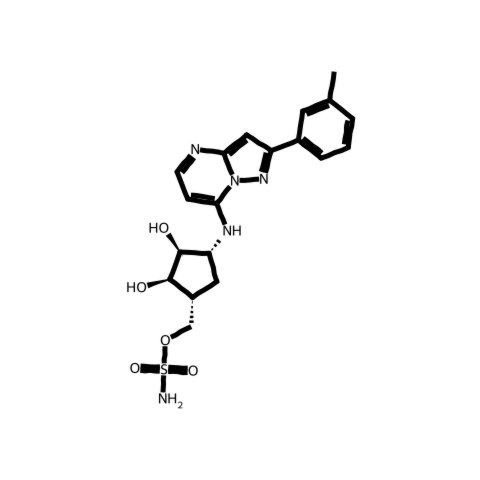 Cc1cccc(-c2cc3nccc(N[C@@H]4C[C@H](COS(N)(=O)=O)[C@@H](O)[C@H]4O)n3n2)c1